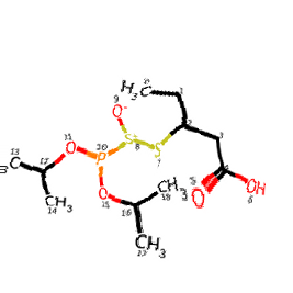 CCC(CC(=O)O)S[S+]([O-])P(OC(C)C)OC(C)C